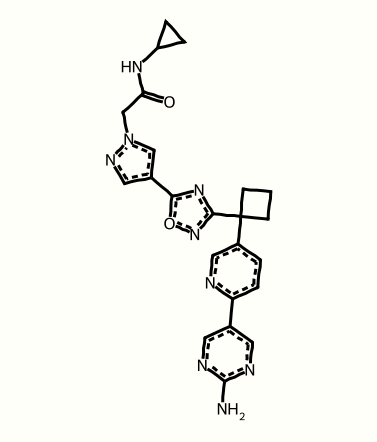 Nc1ncc(-c2ccc(C3(c4noc(-c5cnn(CC(=O)NC6CC6)c5)n4)CCC3)cn2)cn1